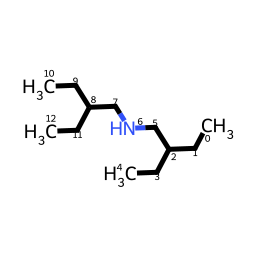 CCC(CC)CNCC(CC)CC